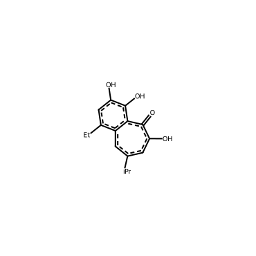 CCc1cc(O)c(O)c2c(=O)c(O)cc(C(C)C)cc12